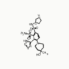 CC1(O)CCN(c2ccc(S(=O)(=O)N[C@@H]3CCNC3)c(S(N)(=O)=O)c2-c2nnn[nH]2)CC1